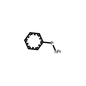 CCC[P]c1ccccc1